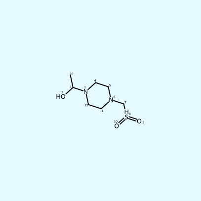 [CH2]C(O)N1CCN(C[SH](=O)=O)CC1